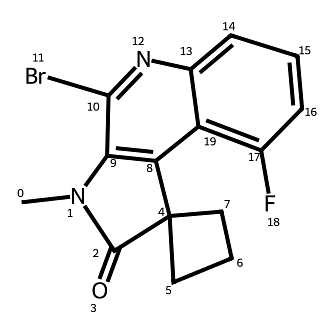 CN1C(=O)C2(CCC2)c2c1c(Br)nc1cccc(F)c21